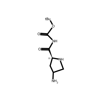 CC(C)(C)OC(=O)NC(=O)[C@@H]1CC(N)CN1